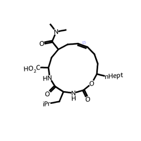 CCCCCCCC1CC/C=C\CC(C(=O)N(C)C)CC(C(=O)O)NC(=O)C(CC(C)C)NC(=O)O1